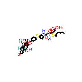 CCCCC(C)SC(CC(=O)O)C(=O)NCC(=O)Nc1cccc(Sc2ccc(C3O[C@@H]4CC5[C@@H]6C[C@H](F)C7=CC(=O)C=C[C@]7(C)[C@@]6(F)[C@@H](O)C[C@]5(C)[C@]4(C(=O)CO)O3)cc2)c1